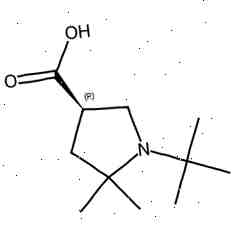 CC(C)(C)N1C[C@H](C(=O)O)CC1(C)C